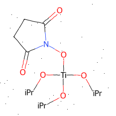 CC(C)[O][Ti]([O]C(C)C)([O]C(C)C)[O]N1C(=O)CCC1=O